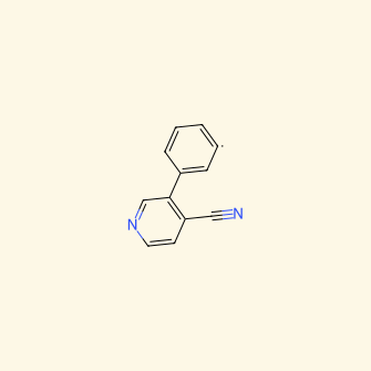 N#Cc1ccncc1-c1c[c]ccc1